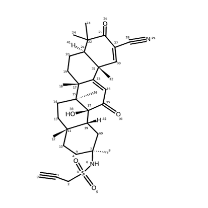 C#CCS(=O)(=O)N[C@@]1(C)CC[C@]2(C)CC[C@@]3(C)[C@]4(C)CC[C@H]5C(C)(C)C(=O)C(C#N)=C[C@]5(C)C4=CC(=O)[C@]3(O)[C@@H]2C1